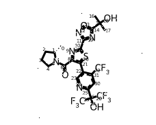 C[C@H]1CCCN1C(=O)c1nc(-c2noc(C(C)(C)O)n2)sc1-c1cnc(C(O)(C(F)(F)F)C(F)(F)F)cc1C(F)(F)F